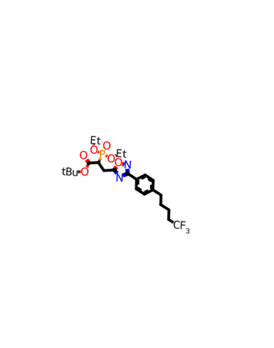 CCOP(=O)(OCC)C(Cc1nc(-c2ccc(CCCCC(F)(F)F)cc2)no1)C(=O)OC(C)(C)C